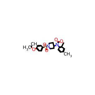 Cc1ccc2c(c1)COC(=O)N2C1CCN(S(=O)(=O)c2ccc(OC(C)C)cc2)CC1